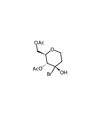 CC(=O)OC[C@H]1O[CH]C[C@](O)(Br)[C@@H]1OC(C)=O